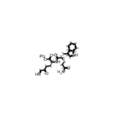 CC(C)OC(=O)[C@H](CCC(=O)C=N)NC(=O)[C@H](Cc1c[nH]c2ccccc12)SCC(N)=O